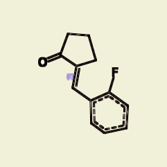 O=C1CCC/C1=C\c1ccccc1F